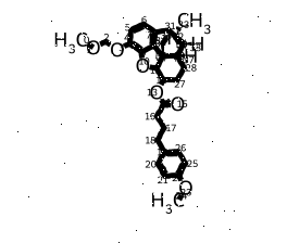 COCOc1ccc2c3c1OC1C(OC(=O)CCCc4ccc(OC)cc4)CC[C@H]4[C@@H](C2)N(C)CC[C@]314